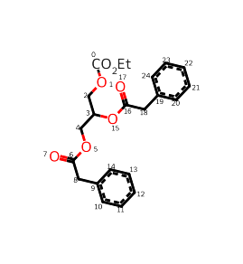 CCOC(=O)OCC(COC(=O)Cc1ccccc1)OC(=O)Cc1ccccc1